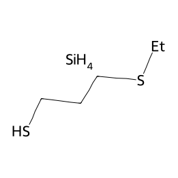 CCSCCCS.[SiH4]